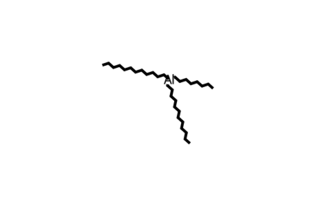 CCCCCCCCCCC[CH2][Al]([CH2]CCCCCCC)[CH2]CCCCCCCCCCC